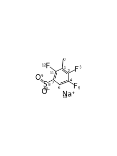 Cc1c(F)c(F)cc(S(=O)[O-])c1F.[Na+]